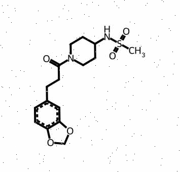 CS(=O)(=O)NC1CCN(C(=O)CCc2ccc3c(c2)OCO3)CC1